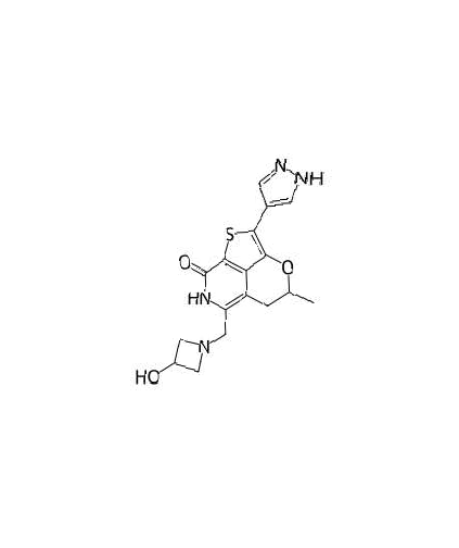 CC1Cc2c(CN3CC(O)C3)[nH]c(=O)c3sc(-c4cn[nH]c4)c(c23)O1